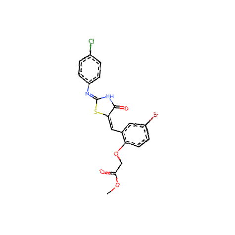 COC(=O)COc1ccc(Br)cc1/C=C1/S/C(=N/c2ccc(Cl)cc2)NC1=O